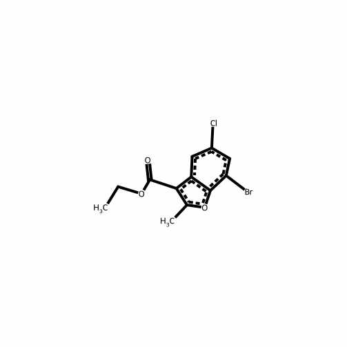 CCOC(=O)c1c(C)oc2c(Br)cc(Cl)cc12